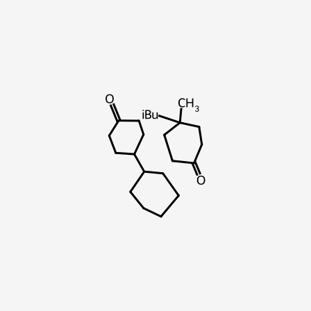 CCC(C)C1(C)CCC(=O)CC1.O=C1CCC(C2CCCCC2)CC1